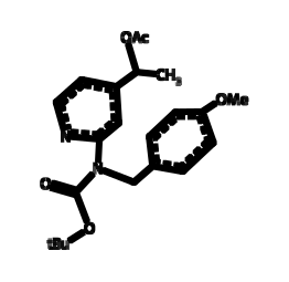 COc1ccc(CN(C(=O)OC(C)(C)C)c2cc(C(C)OC(C)=O)ccn2)cc1